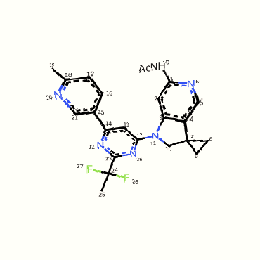 CC(=O)Nc1cc2c(cn1)C1(CC1)CN2c1cc(-c2ccc(C)nc2)nc(C(C)(F)F)n1